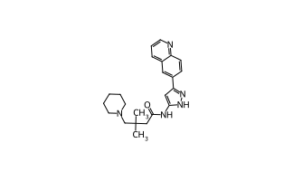 CC(C)(CC(=O)Nc1cc(-c2ccc3ncccc3c2)n[nH]1)CN1CCCCC1